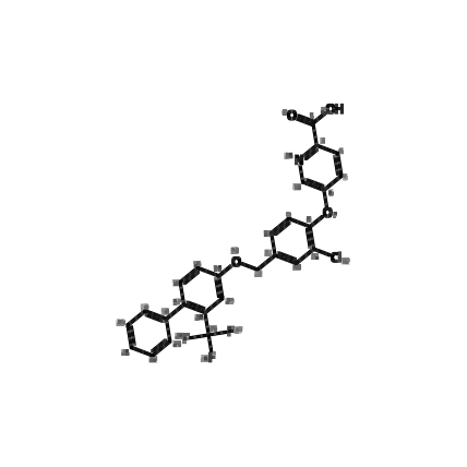 O=C(O)c1ccc(Oc2ccc(COc3ccc(-c4ccccc4)c(C(F)(F)F)c3)cc2Cl)cn1